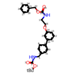 CC(C)(C)OC(=O)NCc1ccc(-c2cccc(OCCNC(=O)OCc3ccccc3)c2)cc1